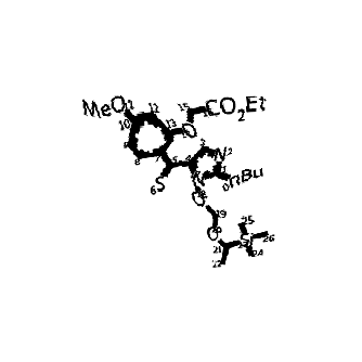 CCCCc1ncc(C(=S)c2ccc(OC)cc2OCC(=O)OCC)n1OCOC(C)[Si](C)(C)C